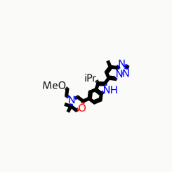 COCCN1CC(c2ccc3[nH]c(-c4cc(C)c5ncnn5c4)c(C(C)C)c3c2)OCC1(C)C